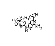 Cc1ccncc1-c1cc2cc(NC(=O)C3C[C@@H]3C(=O)N(C)C)ncc2c(N)n1